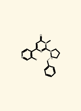 Cn1c(N2CCC[C@@H]2Cc2ccccc2)nc(-c2ccncc2F)cc1=O